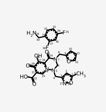 Cc1cc(CN2CN(Cc3ccco3)C(=O)c3c(O)c(=O)c(C(=O)O)cn32)no1.NCc1ccc(F)cc1F